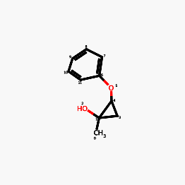 CC1(O)CC1Oc1ccccc1